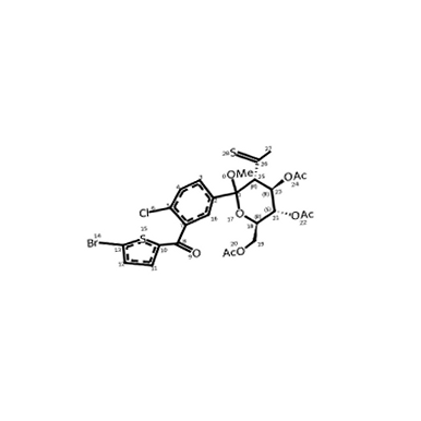 COC1(c2ccc(Cl)c(C(=O)c3ccc(Br)s3)c2)O[C@H](COC(C)=O)[C@@H](OC(C)=O)[C@H](OC(C)=O)[C@H]1C(C)=S